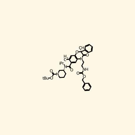 Cc1cc2c(cc1C(=O)N(C(C)C)[C@@H]1CCCN(C(=O)OC(C)(C)C)C1)N(CCNC(=O)OCc1ccccc1)C(=O)[C@](C)(c1ccccc1)O2